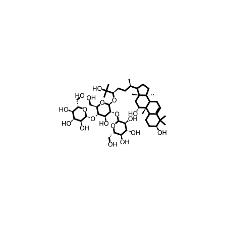 C[C@H](CC[C@@H](O[C@@H]1O[C@H](CO)[C@@H](O[C@H]2O[C@@H](CO)[C@H](O)[C@@H](O)[C@@H]2O)[C@H](O)[C@H]1OC1O[C@@H](CO)[C@H](O)[C@@H](O)[C@@H]1O)C(C)(C)O)C1CC[C@@]2(C)C3CC=C4C(CC[C@H](O)C4(C)C)[C@]3(C)[C@H](O)C[C@]12C